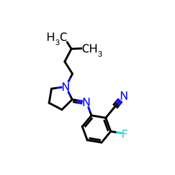 CC(C)CCN1CCCC1=Nc1cccc(F)c1C#N